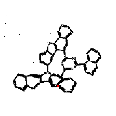 c1ccc(-c2nc(-c3cccc4ccccc34)nc(-c3cc4ccccc4c4oc5ccc(-n6c7cc8ccccc8cc7c7cc8ccccc8cc76)cc5c34)n2)cc1